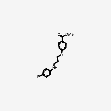 COC(=O)c1ccc(OCCCNc2ccc(F)cc2)cc1